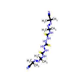 CC(C)(C#N)/N=N/C(C)(C)NC(=S)NNC(=S)NNC(=S)NC(C)(C)/N=N/C(C)(C)C#N